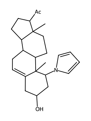 CC(=O)C1CCC2C3CC=C4CC(O)CC(n5cccc5)C4(C)C3CCC12C